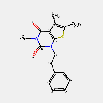 CCCn1c(=O)c2c(C)c(C(=O)OCC)sc2n(CCc2ccccc2)c1=O